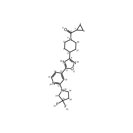 O=C(C1CC1)N1CCC(c2noc(-c3ccnc(N4CCC(F)(F)C4)c3)n2)CC1